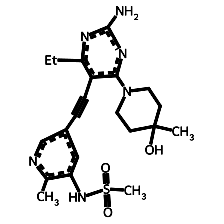 CCc1nc(N)nc(N2CCC(C)(O)CC2)c1C#Cc1cnc(C)c(NS(C)(=O)=O)c1